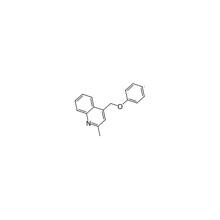 Cc1cc(COc2cc[c]cc2)c2ccccc2n1